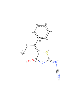 CCC(=C1SC(=NC#N)NC1=O)c1ccccc1